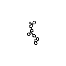 C1=Cc2c([nH]c3ccc(-c4ccc5c(c4)c4ccccc4n5-c4ccc(-c5cccc6c5sc5ccccc56)cc4)cc23)CC1